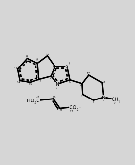 CN1CCC(c2nc3c(s2)Cc2ccccc2-3)CC1.O=C(O)C=CC(=O)O